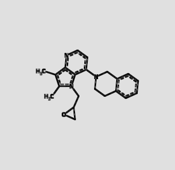 Cc1c(C)n(CC2CO2)c2c(N3CCc4ccccc4C3)ccnc12